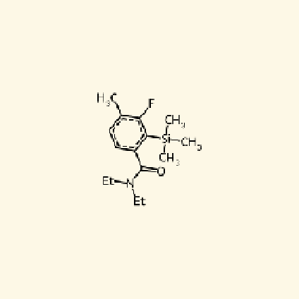 CCN(CC)C(=O)c1ccc(C)c(F)c1[Si](C)(C)C